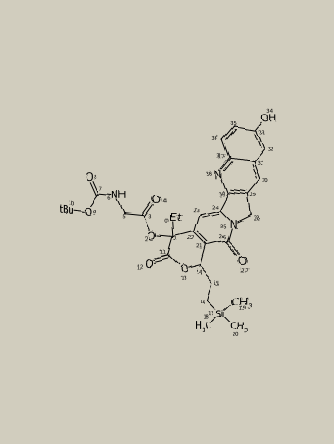 CCC1(OC(=O)CNC(=O)OC(C)(C)C)C(=O)OC(CC[Si](C)(C)C)c2c1cc1n(c2=O)Cc2cc3cc(O)ccc3nc2-1